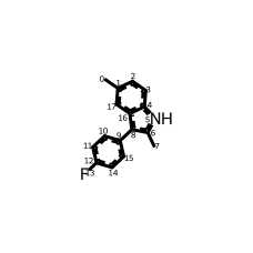 Cc1ccc2[nH]c(C)c(-c3ccc(F)cc3)c2c1